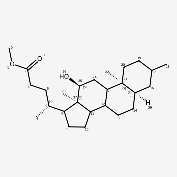 COC(=O)CC[C@@H](C)C1CCC2C3CC[C@@H]4CC(C)CC[C@]4(C)C3C[C@H](O)[C@@]21C